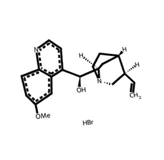 Br.C=C[C@H]1C[N@]2CC[C@H]1C[C@@H]2[C@@H](O)c1ccnc2ccc(OC)cc12